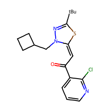 CC(C)(C)C1=NN(CC2CCC2)C(=CC(=O)c2cccnc2Cl)S1